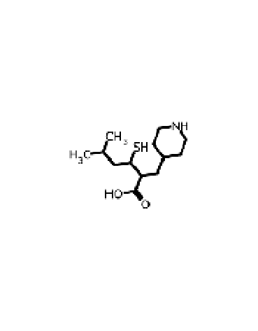 CC(C)CC(S)C(CC1CCNCC1)C(=O)O